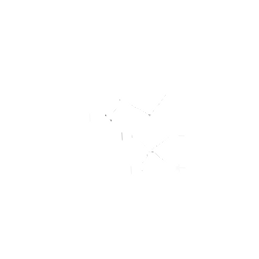 CCON.O[Si](O)(O)O